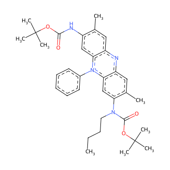 CCCCN(C(=O)OC(C)(C)C)c1cc2c(cc1C)nc1cc(C)c(NC(=O)OC(C)(C)C)cc1[n+]2-c1ccccc1